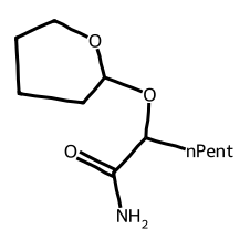 CCCCCC(OC1CCCCO1)C(N)=O